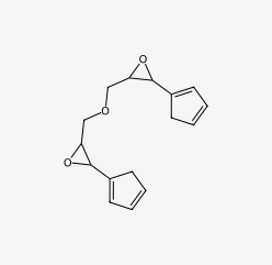 C1=CCC(C2OC2COCC2OC2C2=CC=CC2)=C1